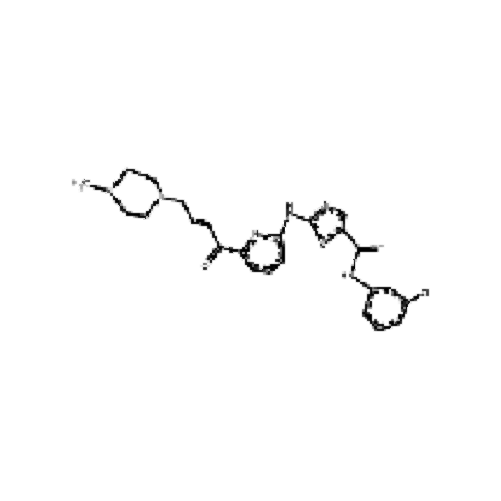 CN1CCN(C/C=C/C(=O)c2cccc(Nc3ncc(C(=O)Nc4cccc(Cl)c4)s3)n2)CC1